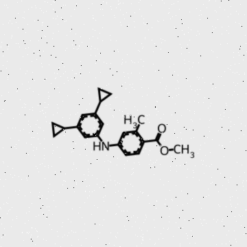 COC(=O)c1ccc(Nc2cc(C3CC3)cc(C3CC3)c2)cc1C